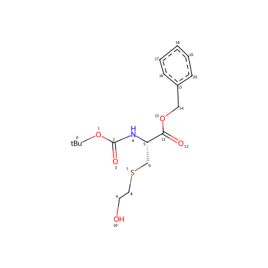 CC(C)(C)OC(=O)N[C@@H](CSCCO)C(=O)OCc1ccccc1